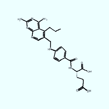 CCCc1c(CNc2ccc(C(=O)N[C@@H](CCC(=O)O)C(=O)O)cc2)cnc2nc(N)nc(N)c12